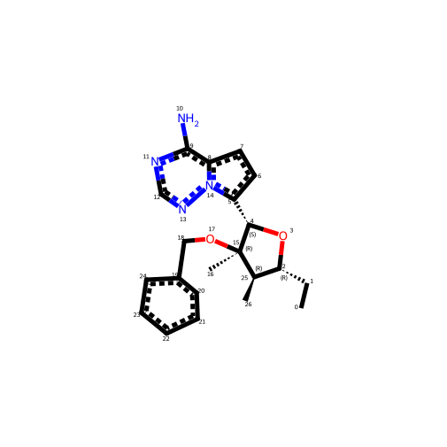 CC[C@H]1O[C@@H](c2ccc3c(N)ncnn23)[C@](C)(OCc2ccccc2)[C@@H]1C